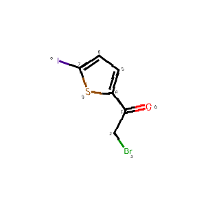 O=C(CBr)c1ccc(I)s1